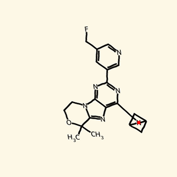 CC1(C)OCCn2c1nc1c(N3CC4CC3C4)nc(-c3cncc(CF)c3)nc12